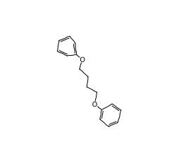 c1ccc(OCCCCOc2ccccc2)cc1